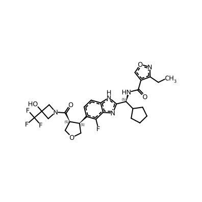 CCc1nocc1C(=O)N[C@H](c1nc2c(F)c([C@H]3COC[C@H]3C(=O)N3CC(O)(C(F)(F)F)C3)ccc2[nH]1)C1CCCC1